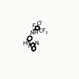 CN(C)c1cc(N[C@H]2CC[C@@H](CNCc3cc(C(F)(F)F)cc(Cl)c3F)CC2)nc2ccccc12